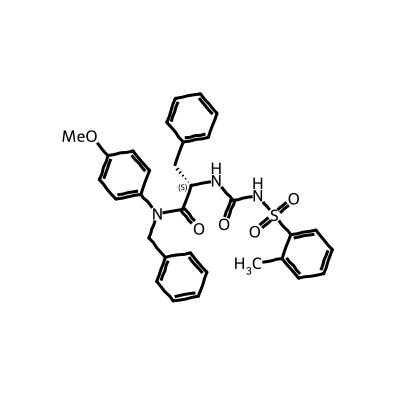 COc1ccc(N(Cc2ccccc2)C(=O)[C@H](Cc2ccccc2)NC(=O)NS(=O)(=O)c2ccccc2C)cc1